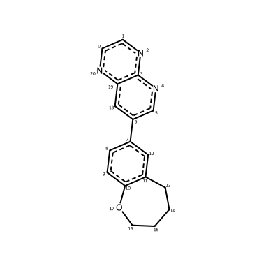 c1cnc2ncc(-c3ccc4c(c3)CCCCO4)cc2n1